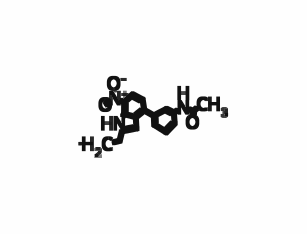 [CH2]Cc1cc2c(-c3cccc(NC(C)=O)c3)ccc([N+](=O)[O-])c2[nH]1